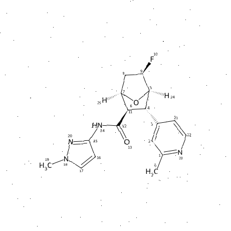 Cc1cc([C@H]2[C@H]3O[C@H](C[C@H]3F)[C@@H]2C(=O)Nc2ccn(C)n2)ccn1